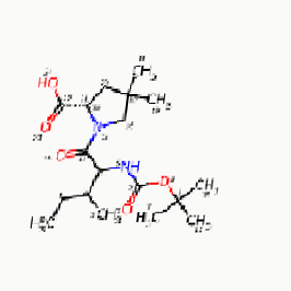 CCC(C)C(NC(=O)OC(C)(C)C)C(=O)N1CC(C)(C)C[C@H]1C(=O)O